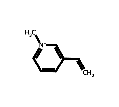 C=Cc1ccc[n+](C)c1